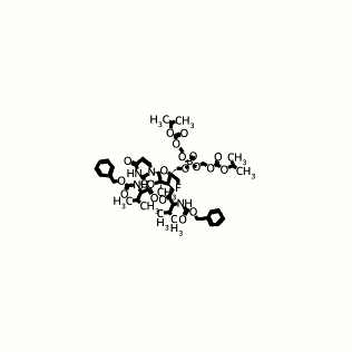 CC(C)OC(=O)OCOP(=O)(OCOC(=O)OC(C)C)OC[C@@]1(CF)O[C@@H](n2ccc(=O)[nH]c2=O)[C@](C)(OC(=O)C(NC(=O)OCc2ccccc2)C(C)C)[C@@H]1CC(=O)C(NC(=O)OCc1ccccc1)C(C)C